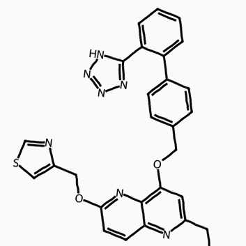 CCc1cc(OCc2ccc(-c3ccccc3-c3nnn[nH]3)cc2)c2nc(OCc3cscn3)ccc2n1